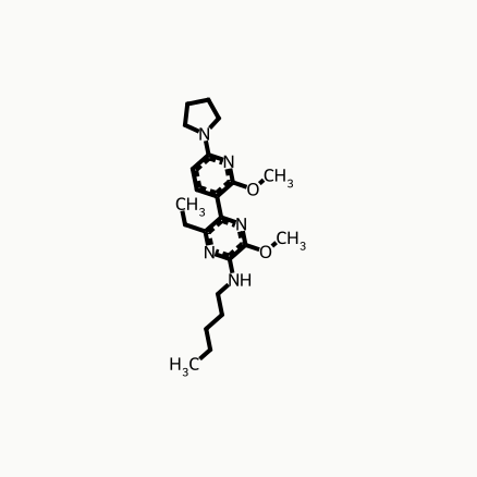 CCCCCNc1nc(CC)c(-c2ccc(N3CCCC3)nc2OC)nc1OC